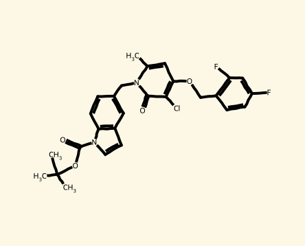 Cc1cc(OCc2ccc(F)cc2F)c(Cl)c(=O)n1Cc1ccc2c(ccn2C(=O)OC(C)(C)C)c1